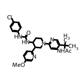 COc1ccc(C2CN(c3ccc(C(C)(C)NC(C)=O)cn3)CCC2NC(=O)Nc2ccc(Cl)cc2)nc1